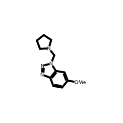 COc1ccc2nnn(CN3CCCC3)c2c1